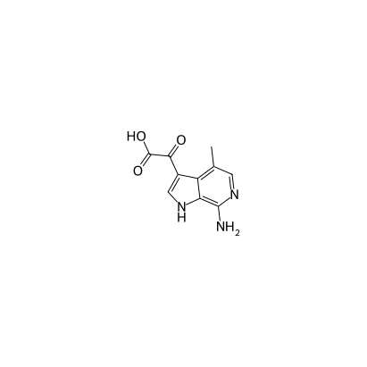 Cc1cnc(N)c2[nH]cc(C(=O)C(=O)O)c12